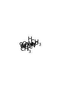 Cc1nn(-c2ccccc2)c(C)c1NC(=O)C1(OC(=O)Cn2c(C)cc3ccccc32)CC1